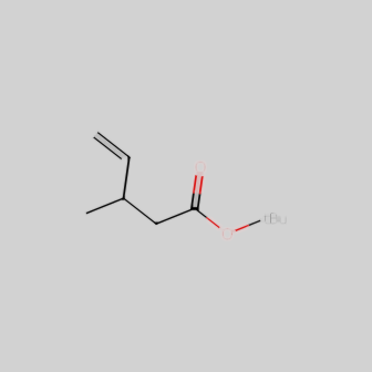 C=CC(C)CC(=O)OC(C)(C)C